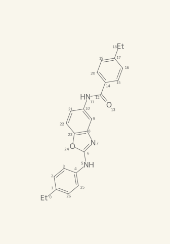 CCc1ccc(Nc2nc3cc(NC(=O)c4ccc(CC)cc4)ccc3o2)cc1